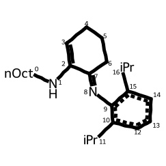 CCCCCCCCNC1=CCCCC1=Nc1c(C(C)C)cccc1C(C)C